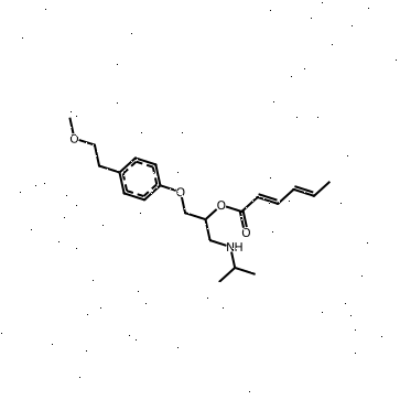 CC=CC=CC(=O)OC(CNC(C)C)COc1ccc(CCOC)cc1